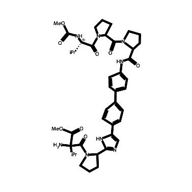 COC(=O)N[C@H](C(=O)N1CCCC1C(=O)N1CCCC1C(=O)Nc1ccc(-c2ccc(-c3cnc(C4CCCN4C(=O)C(N)(C(=O)OC)C(C)C)[nH]3)cc2)cc1)C(C)C